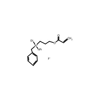 C=CC(=O)OCCC[N+](CC)(CCC)Cc1ccccc1.[F-]